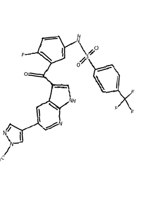 Cn1cc(-c2cnc3[nH]cc(C(=O)c4cc(NS(=O)(=O)c5ccc(C(F)(F)F)cc5)ccc4F)c3c2)cn1